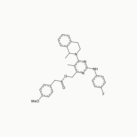 COc1ccc(CC(=O)OCc2nc(Nc3ccc(F)cc3)nc(N3CCc4ccccc4C3C)c2C)cc1